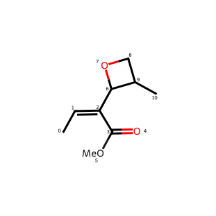 CC=C(C(=O)OC)C1OCC1C